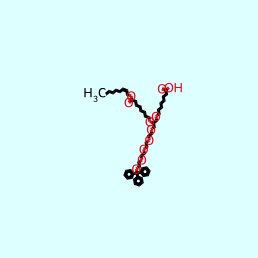 CCCCCC/C=C\COC(=O)CCCCCCCOC(COCCCCCCCC(=O)O)COCCOCCOCCOCCOC(c1ccccc1)(c1ccccc1)c1ccccc1